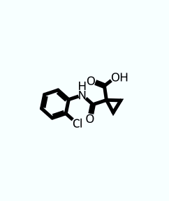 O=C(O)C1(C(=O)Nc2ccccc2Cl)CC1